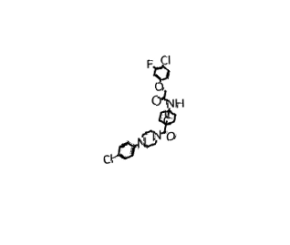 O=C(COc1ccc(Cl)c(F)c1)NC12CCC(C(=O)N3CCN(c4ccc(Cl)cc4)CC3)(CC1)CC2